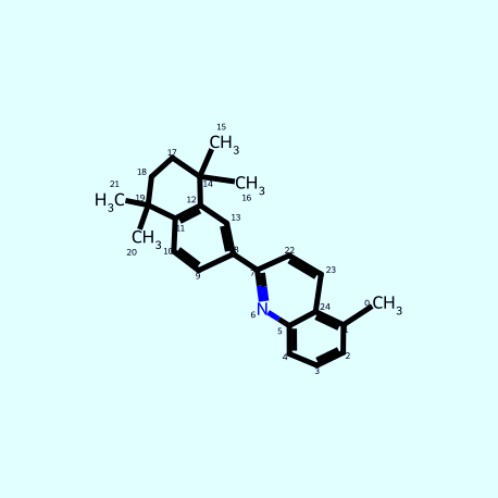 Cc1cccc2nc(-c3ccc4c(c3)C(C)(C)CCC4(C)C)ccc12